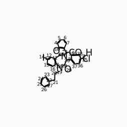 O=C(O)C(c1ccccc1)N1C(=O)c2cc(I)ccc2N(CCCc2ccccc2)C(=O)C1c1ccc(Cl)cc1